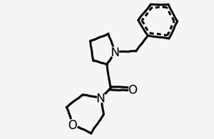 O=C(C1CCCN1Cc1ccccc1)N1CCOCC1